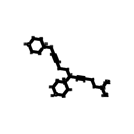 CCN(CC)CCC#CC(CCC#CCN1CCOCC1)N1CCOCC1